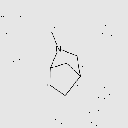 CN1CC2C[CH]C1C2